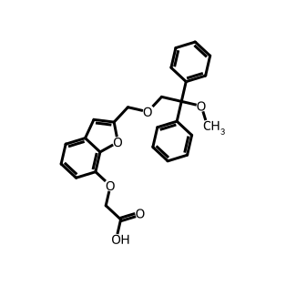 COC(COCc1cc2cccc(OCC(=O)O)c2o1)(c1ccccc1)c1ccccc1